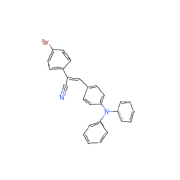 N#C/C(=C\c1ccc(N(c2ccccc2)c2ccccc2)cc1)c1ccc(Br)cc1